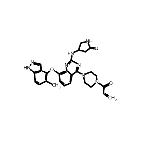 C=CC(=O)N1CCN(c2nc(NC3CNC(=O)C3)nc3c(Oc4c(C)ccc5[nH]ncc45)cccc23)CC1